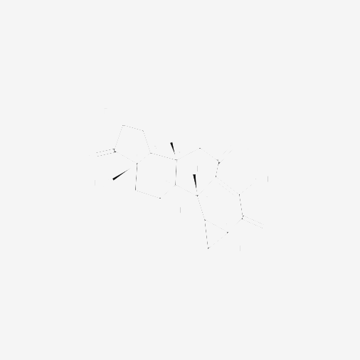 C=C1C[C@H]2[C@@H]3C[C@@H](F)C(=O)[C@@]3(C)CC[C@@H]2[C@]2(C)C1=C(O)C(=O)[C@H]1CC12